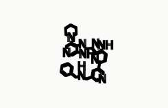 c1ccc(CNCc2cncc(-c3ccc4[nH]nc(-c5nc6c(N7CCCCC7)cncc6[nH]5)c4n3)c2)cc1